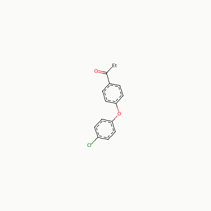 CCC(=O)c1ccc(Oc2ccc(Cl)cc2)cc1